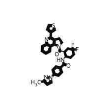 Cc1ccn(-c2ccc(C(=O)N[C@@H]3CCC(F)(F)C[C@@H]3C(=O)N3CCc4c(-c5ccsc5)nc5ccccc5c43)cc2)n1